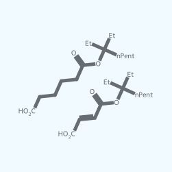 CCCCCC(CC)(CC)OC(=O)C=CC(=O)O.CCCCCC(CC)(CC)OC(=O)CCCCC(=O)O